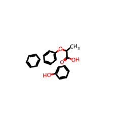 CC(Oc1ccccc1)C(=O)O.Oc1ccccc1.c1ccccc1